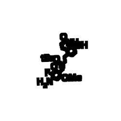 COc1cc(N)c(F)cc1CN(CCc1ccc(O)c2[nH]c(=O)ccc12)C(=O)OC(C)(C)C